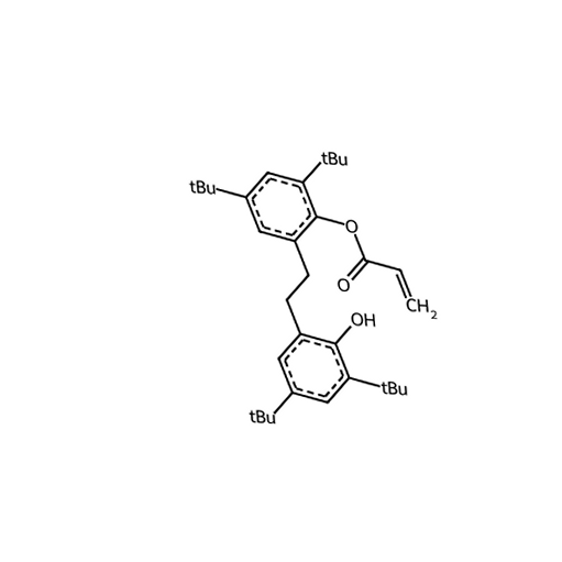 C=CC(=O)Oc1c(CCc2cc(C(C)(C)C)cc(C(C)(C)C)c2O)cc(C(C)(C)C)cc1C(C)(C)C